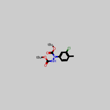 Cc1ccc(N(NC(=O)OC(C)(C)C)C(=O)OC(C)(C)C)cc1Cl